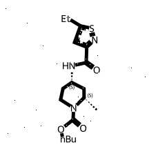 CCCCOC(=O)N1CC[C@H](NC(=O)c2cc(CC)sn2)C[C@@H]1C